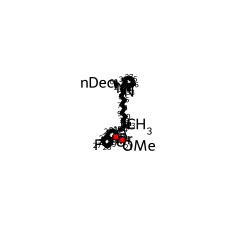 CCCCCCCCCCCCn1c(CCCCCCCN(C)CC[C@@]2(OC(=O)COC)CCc3cc(F)ccc3[C@@H]2C(C)C)nc2ccccc21